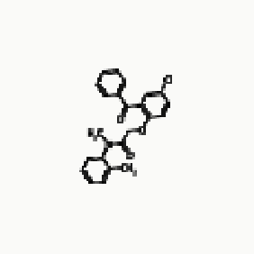 Cc1ccccc1N(C)C(=O)COc1ccc(Cl)cc1C(=O)c1ccccc1